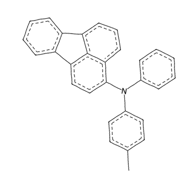 Cc1ccc(N(c2ccccc2)c2ccc3c4c(cccc24)-c2ccccc2-3)cc1